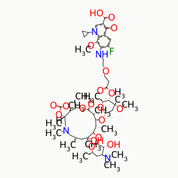 CC[C@H]1OC(=O)[C@H](C)[C@@H](O[C@H]2C[C@@](C)(OC)[C@@H](OC(=O)CCOCCNc3c(F)cc4c(=O)c(C(=O)O)cn(C5CC5)c4c3OC)[C@H](C)O2)[C@H](C)[C@@H](O[C@@H]2O[C@H](C)C[C@H](N(C)C)[C@H]2O)[C@](C)(O)C[C@@H](C)CN(C)[C@H](C)[C@@H]2OC(=O)O[C@]12C